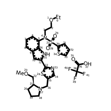 CCOCCN(c1cccc2cc(-c3ncc(CN4CCC[C@H]4COC)s3)[nH]c12)S(=O)(=O)c1cccs1.O=C(O)C(F)(F)F